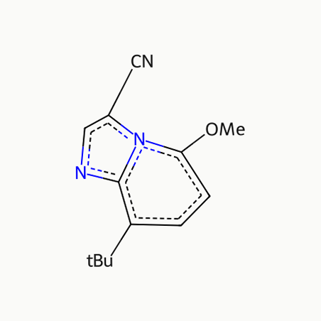 COc1ccc(C(C)(C)C)c2ncc(C#N)n12